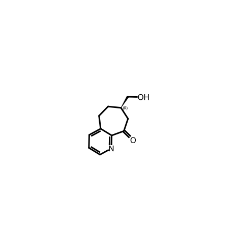 O=C1C[C@H](CO)CCc2cccnc21